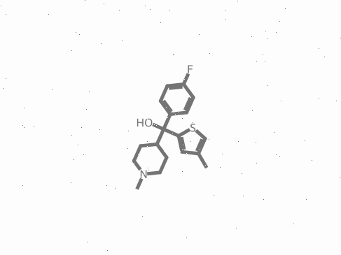 Cc1csc(C(O)(c2ccc(F)cc2)C2CCN(C)CC2)c1